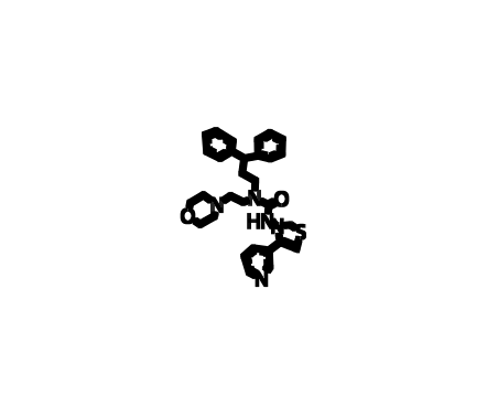 O=C(NN1CSC=C1c1cccnc1)N(CCC(c1ccccc1)c1ccccc1)CCN1CCOCC1